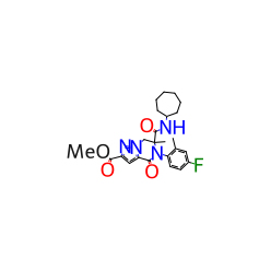 COC(=O)c1cc2n(n1)CC(C)(C(=O)NC1CCCCCC1)N(c1ccc(F)cc1C)C2=O